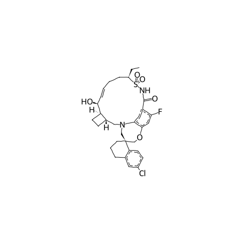 CC[C@@H]1CC/C=C/[C@H](O)[C@@H]2CC[C@H]2CN2C[C@@]3(CCCc4cc(Cl)ccc43)COc3cc(F)c(cc32)C(=O)NS1(=O)=O